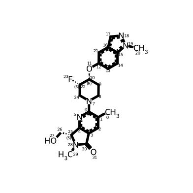 Cc1cc2c(nc1N1CC[C@@H](Oc3ccc4c(cnn4C)c3)[C@@H](F)C1)[C@@H](CO)N(C)C2=O